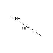 CCCCCCCCCCCCCCCCNCCC.I